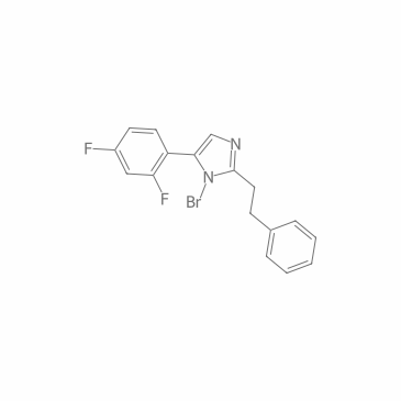 Fc1ccc(-c2cnc(CCc3ccccc3)n2Br)c(F)c1